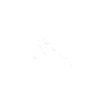 Cc1ccc(Cl)c(Nc2c(C(=O)N3CC4(C3)CN(c3ccc(F)cc3)C4)cnc3c(S(N)(=O)=O)cnn23)c1